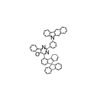 C1=CC2=C(CC1)c1c(-c3nc(-c4cccc(-n5c6ccccc6c6cc7ccccc7cc65)c4)nc4c3oc3ccccc34)cccc1C21c2ccccc2-c2ccccc21